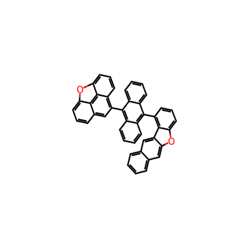 c1ccc2cc3c(cc2c1)oc1cccc(-c2c4ccccc4c(-c4cc5cccc6oc7cccc4c7c56)c4ccccc24)c13